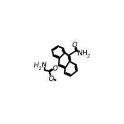 COC(=O)CN.NC(=O)c1c2ccccc2cc2ccccc12